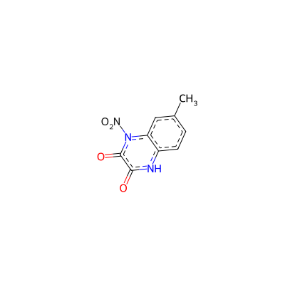 Cc1ccc2[nH]c(=O)c(=O)n([N+](=O)[O-])c2c1